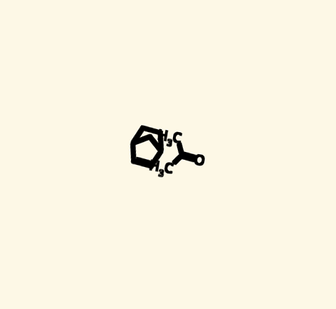 C1=CC2CCC1C2.CC(C)=O